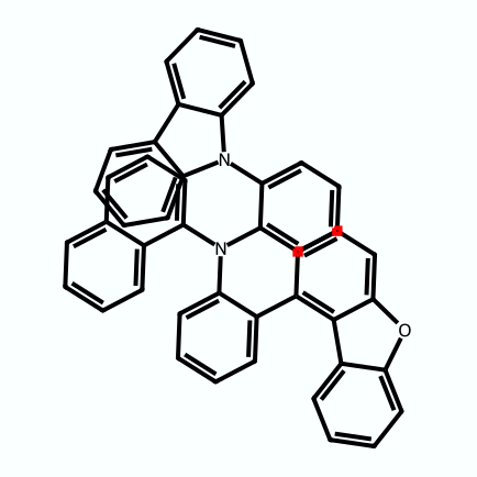 c1ccc(N(c2ccccc2-n2c3ccccc3c3ccccc32)c2cccc3ccccc23)c(-c2cccc3oc4ccccc4c23)c1